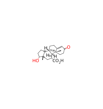 C[C@]12CCC(=O)C=C1CC[C@@H]1[C@H]2C(C(=O)O)C[C@]2(C)C(O)CC[C@@H]12